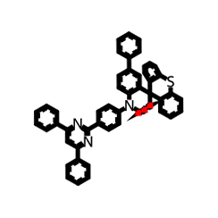 c1ccc(-c2ccc3c(c2)C2(c4ccccc4Sc4ccccc42)c2ccccc2N3c2ccc(-c3nc(-c4ccccc4)cc(-c4ccccc4)n3)cc2)cc1